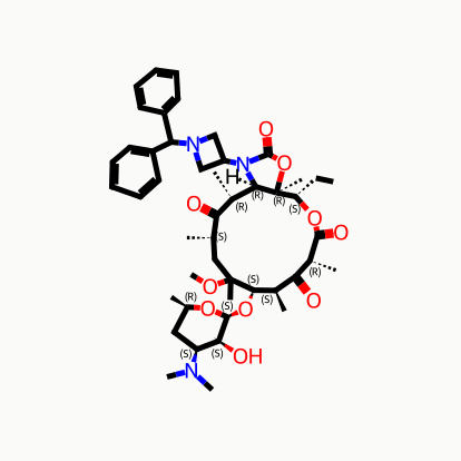 CC[C@@H]1OC(=O)[C@H](C)C(=O)[C@@H](C)[C@H](O[C@@H]2O[C@H](C)C[C@H](N(C)C)[C@@H]2O)C(C)(OC)C[C@H](C)C(=O)[C@H](C)[C@H]2N(C3CN(C(c4ccccc4)c4ccccc4)C3)C(=O)O[C@@]12C